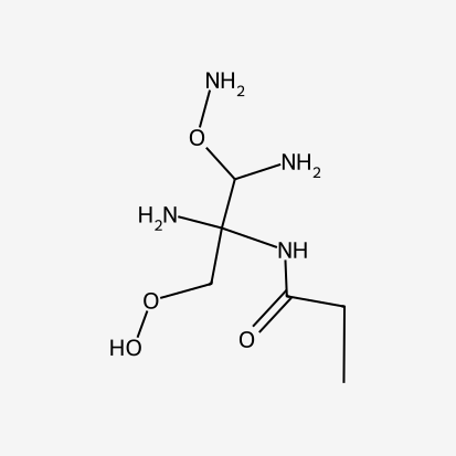 CCC(=O)NC(N)(COO)C(N)ON